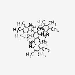 CC1=C(C)C2N=NN(c3c(C)c(-n4nnc5c(C)c(C)c(C)c(C)c54)c(C)c(-n4nnc5c(C)c(C)c(C)c(C)c54)c3C)C2C(C)=C1C